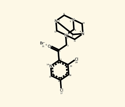 O=C(C[N+]12CN3CN(CN(C3)C1)C2)c1ncc(Cl)cc1Cl.[Br-]